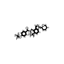 O=C(NCc1c(C(F)(F)F)ccc2c1cnn2C1CCCCO1)c1ccc(OC(F)(F)F)cc1